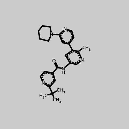 Cc1ncc(NC(=O)c2ccnc(C(C)(C)C)c2)cc1-c1ccnc(N2CCCCC2)c1